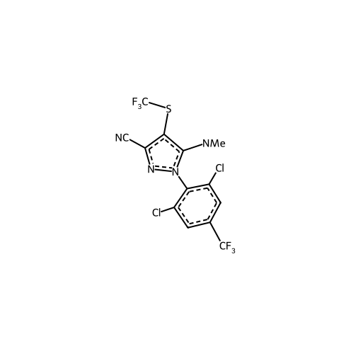 CNc1c(SC(F)(F)F)c(C#N)nn1-c1c(Cl)cc(C(F)(F)F)cc1Cl